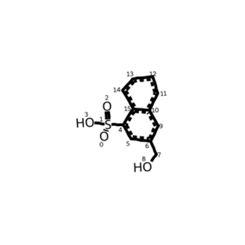 O=S(=O)(O)c1cc(CO)cc2ccccc12